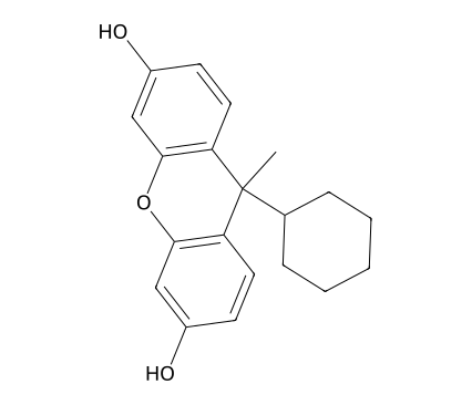 CC1(C2CCCCC2)c2ccc(O)cc2Oc2cc(O)ccc21